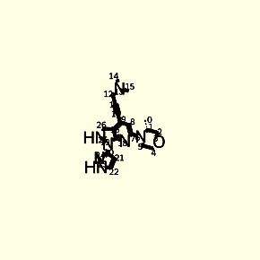 C[C@@H]1COCCN1c1cc(C#CCN(C)C)c2c(n1)N(c1cc[nH]n1)NC2